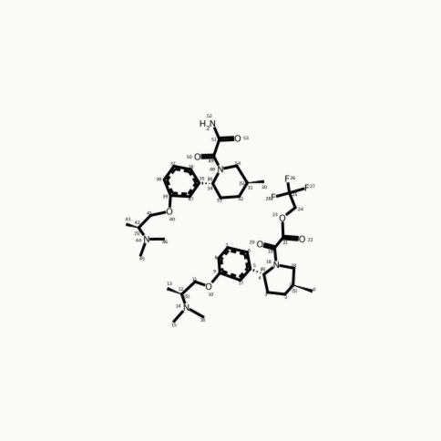 C[C@H]1CC[C@H](c2cccc(OC[C@H](C)N(C)C)c2)N(C(=O)C(=O)OCC(F)(F)F)C1.C[C@H]1CC[C@H](c2cccc(OC[C@H](C)N(C)C)c2)N(C(=O)C(N)=O)C1